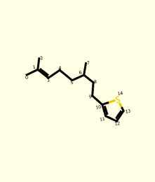 CC(C)=CCCC(C)CCc1cccs1